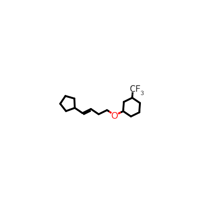 FC(F)(F)C1CCCC(OCC/C=C/C2CCCC2)C1